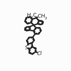 CC1(C)c2ccccc2C2(c3ccccc3-c3c(-c4ccc5sc6ccc(Cl)cc6c5c4)cccc32)c2ccccc21